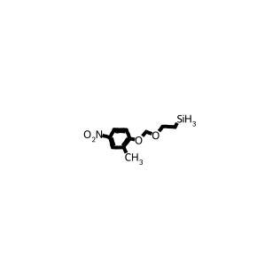 Cc1cc([N+](=O)[O-])ccc1OCOCC[SiH3]